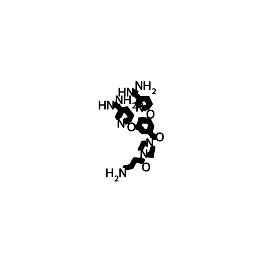 N=C(N)c1ccc(Oc2cc(Oc3ccc(C(=N)N)cn3)cc(C(=O)N3CCN(C(=O)CCCN)CC3)c2)nc1